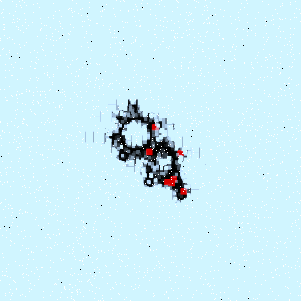 CNC(=O)c1ccccc1Sc1ccc2c(/C=C/c3ccccn3)nn(C(=O)N(CCC(=O)N[C@H](CCN)C(=O)N[C@H](C(=O)N[C@H](CCN)C(=O)N[C@H]3CCNC(=O)[C@@H]([C@@H](C)O)NC(=O)[C@@H](CCCN)NC(=O)[C@@H](CCN)NC(=O)[C@@H](CC(C)C)NC(=O)[C@@H](Cc4ccccc4)NC(=O)[C@@H](CCN)NC3=O)[C@@H](C)O)C[C@@H](CCSC)NC=O)c2c1